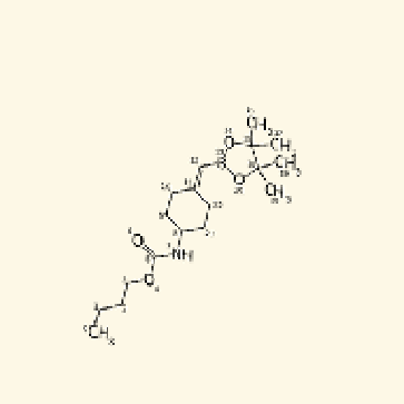 CCCCOC(=O)NC1CCC(=CB2OC(C)(C)C(C)(C)O2)CC1